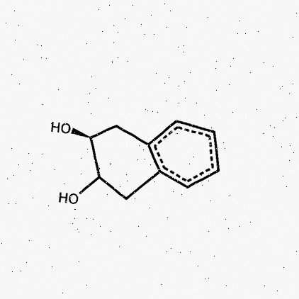 OC1Cc2ccccc2C[C@@H]1O